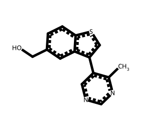 Cc1ncncc1-c1csc2ccc(CO)cc12